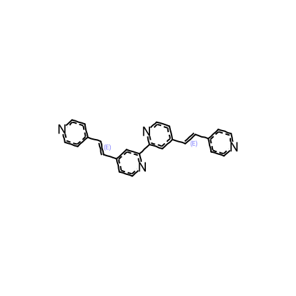 C(=C\c1ccnc(-c2cc(/C=C/c3ccncc3)ccn2)c1)/c1ccncc1